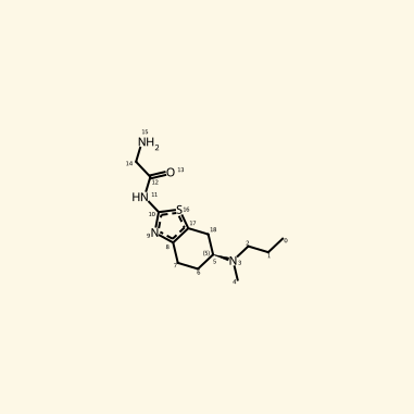 CCCN(C)[C@H]1CCc2nc(NC(=O)CN)sc2C1